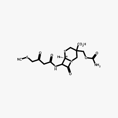 N#CSCC(=O)CC(=O)NC1C(=O)N2CC(COC(N)=O)(C(=O)O)CS[C@H]12